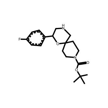 CC(C)(C)OC(=O)N1CCC2(CC1)CNCC(c1ccc(F)cc1)O2